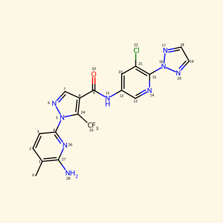 Cc1ccc(-n2ncc(C(=O)Nc3cnc(-n4nccn4)c(Cl)c3)c2C(F)(F)F)nc1N